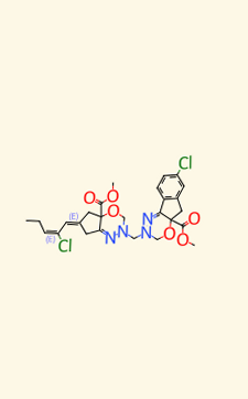 CC/C=C(Cl)\C=C1/CC2=NN(CN3COC4(C(=O)OC)Cc5cc(Cl)ccc5C4=N3)COC2(C(=O)OC)C1